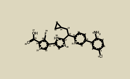 Nc1ccc(Cl)cc1-c1ccc(C(CC2CC2)c2ncc(-c3csc(C(=O)O)c3F)[nH]2)nc1